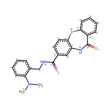 CN(C)c1ccccc1CNC(=O)c1ccc2c(c1)NC(=O)c1ccccc1S2